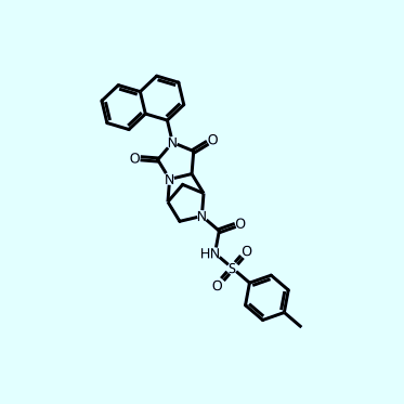 Cc1ccc(S(=O)(=O)NC(=O)N2CC3CC2C2C(=O)N(c4cccc5ccccc45)C(=O)N32)cc1